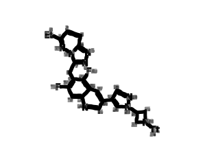 CCc1ccc2nnc(Cc3c(F)cc4ncc(-c5cnn(C6CN(CC)C6)c5)cc4c3F)n2n1